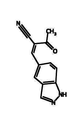 CC(=O)C(C#N)=Cc1ccc2[nH]ncc2c1